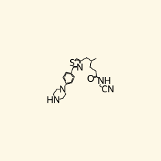 CC(CCC(=O)NCC#N)Cc1csc(-c2ccc(N3CCNCC3)cc2)n1